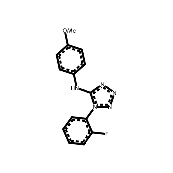 COc1ccc(Nc2nnnn2-c2ccccc2F)cc1